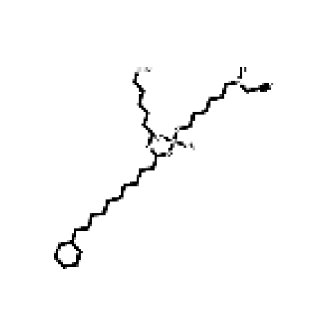 C#CCN(C)CCCCCCO[Si](C)(C)OC(CCCCCCCCCCC1CCCCC1)OCCCCCCCCCCCCCCCC